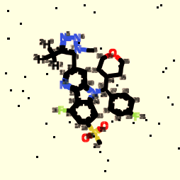 [2H]C([2H])([2H])c1nnn(C)c1-c1cnc2c3c(F)cc(S(C)(=O)=O)cc3n([C@H](c3ccc(F)cc3)C3CCOCC3)c2c1